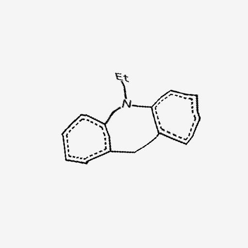 CCN1c2ccccc2Cc2ccccc21